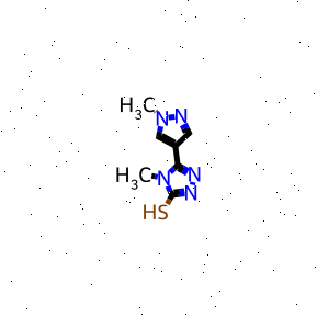 Cn1cc(-c2nnc(S)n2C)cn1